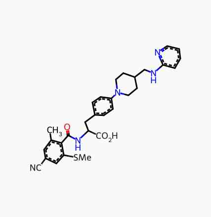 CSc1cc(C#N)cc(C)c1C(=O)NC(Cc1ccc(N2CCC(CNc3ccccn3)CC2)cc1)C(=O)O